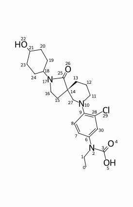 CCN(C(=O)O)c1ccc(N2CCC[C@]3(CCN(C4CCC(O)CC4)C3=O)C2)c(Cl)c1